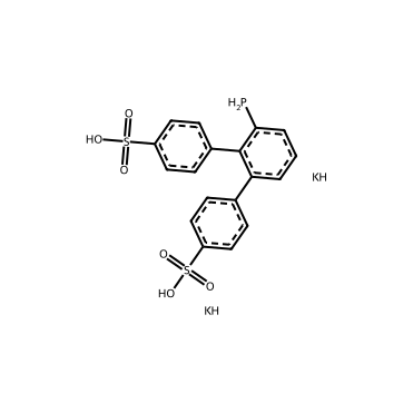 O=S(=O)(O)c1ccc(-c2cccc(P)c2-c2ccc(S(=O)(=O)O)cc2)cc1.[KH].[KH]